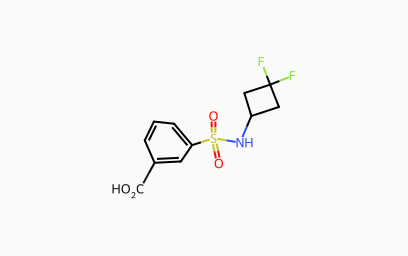 O=C(O)c1cccc(S(=O)(=O)NC2CC(F)(F)C2)c1